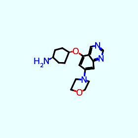 N[C@H]1CC[C@@H](Oc2cc(N3CCOCC3)cc3ncncc23)CC1